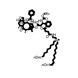 CCCCCCCC/C=C\CCCCCCCC[N+](C)(CCCCCCCCCCCCCCCCCC)CCNC(=O)CCC(=O)O[C@@H](C(=O)O[C@H]1C[C@@]2(O)[C@@H](OC(=O)c3ccccc3)[C@@H]3[C@]4(OC(C)=O)CO[C@@H]4C[C@H](C)[C@@]3(C)C(=O)[C@H](C)C(=C1C)C2(C)C)[C@@H](NC(=O)OC(C)(C)C)c1ccccc1